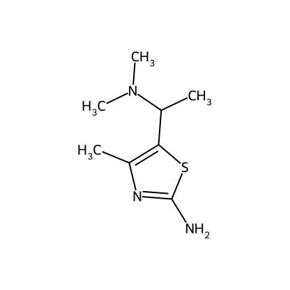 Cc1nc(N)sc1C(C)N(C)C